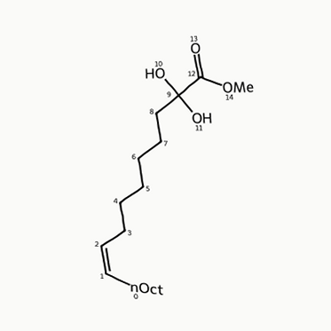 CCCCCCCC/C=C\CCCCCCC(O)(O)C(=O)OC